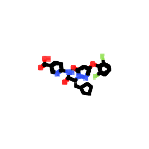 O=C(O)c1ccc(NC(=O)[C@H](CC2CCCC2)n2ncc(Oc3c(F)cccc3F)cc2=O)nc1